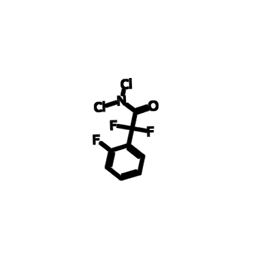 O=C(N(Cl)Cl)C(F)(F)c1ccccc1F